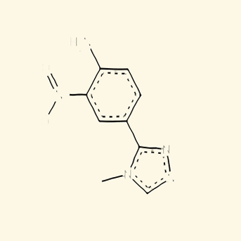 Cn1cnnc1-c1ccc(N)c([N+](=O)[O-])c1